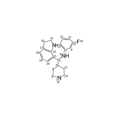 CN1CCC(C2Nc3cc(F)ccc3N3CCc4cccc2c43)CC1